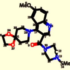 COc1ccc2ncc(C(=O)N3CCN(SC)CC3)c(N3CCC4(CC3)OCCO4)c2c1